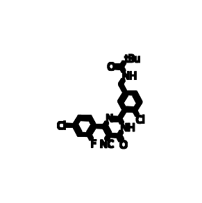 CC(C)(C)C(=O)NCc1ccc(Cl)c(-c2nc(-c3ccc(Cl)cc3F)c(C#N)c(=O)[nH]2)c1